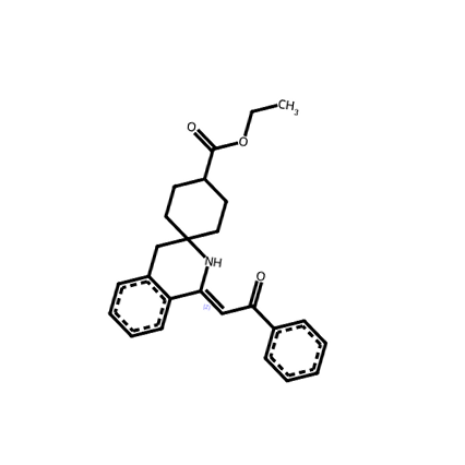 CCOC(=O)C1CCC2(CC1)Cc1ccccc1/C(=C/C(=O)c1ccccc1)N2